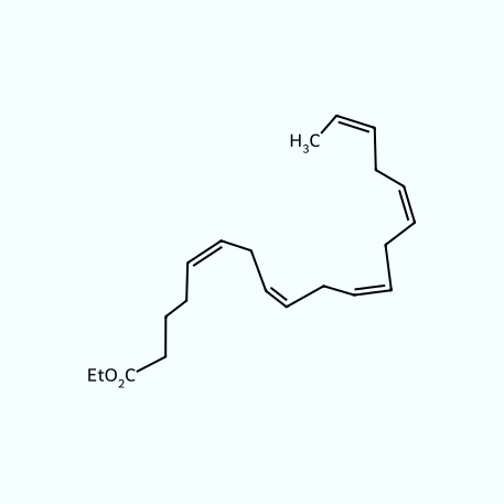 C/C=C\C/C=C\C/C=C\C/C=C\C/C=C\CCCC(=O)OCC